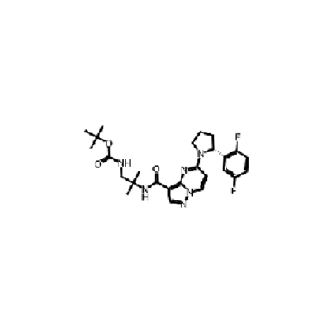 CC(C)(CNC(=O)OC(C)(C)C)NC(=O)c1cnn2ccc(N3CCC[C@@H]3c3cc(F)ccc3F)nc12